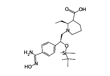 CC[C@H]1C(C(=O)O)CCCN1C[C@@H](O[Si](C)(C)C(C)(C)C)c1ccc(C(N)=NO)cc1